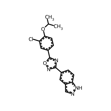 CC(C)Oc1ccc(-c2nc(-c3ccc4[nH]ncc4c3)no2)cc1Cl